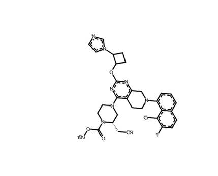 CC(C)(C)OC(=O)N1CCN(c2nc(OC3CCC3n3ccnc3)nc3c2CCN(c2cccc4ccc(F)c(Cl)c24)C3)C[C@@H]1CC#N